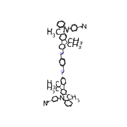 Cc1ccccc1N(c1ccc(C#N)cc1)c1ccc2c(c1)C(C)(C)c1cc(/C=C/c3ccc(/C=C/c4ccc5c(c4)C(C)(C)c4cc(N(c6ccc(C#N)cc6)c6ccccc6C)ccc4-5)cc3)ccc1-2